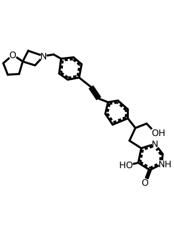 O=c1[nH]cnc(CC(CO)c2ccc(C#Cc3ccc(CN4CC5(CCCO5)C4)cc3)cc2)c1O